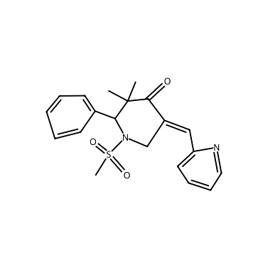 CC1(C)C(=O)C(=Cc2ccccn2)CN(S(C)(=O)=O)C1c1ccccc1